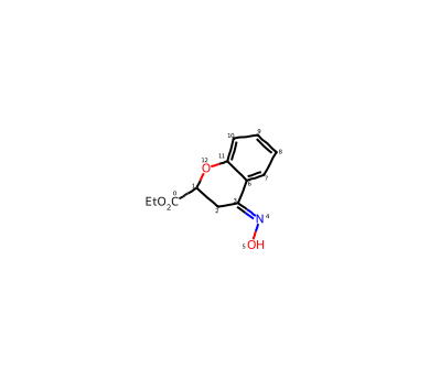 CCOC(=O)C1CC(=NO)c2ccccc2O1